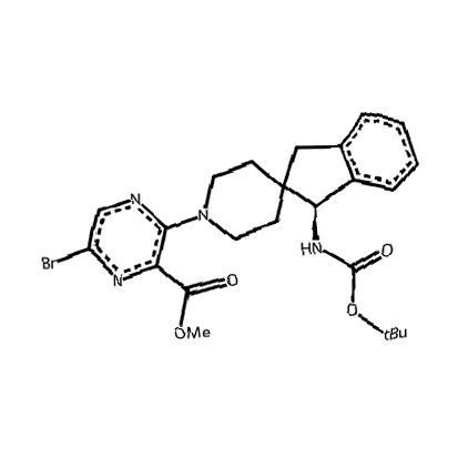 COC(=O)c1nc(Br)cnc1N1CCC2(CC1)Cc1ccccc1[C@H]2NC(=O)OC(C)(C)C